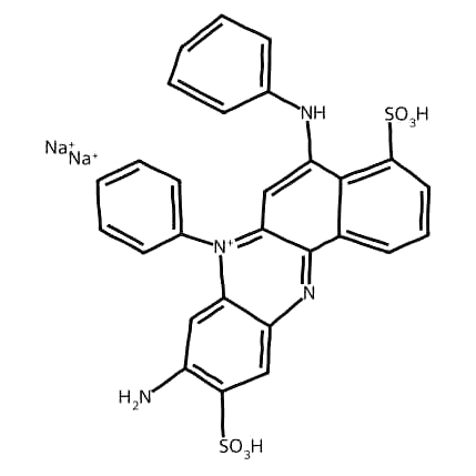 Nc1cc2c(cc1S(=O)(=O)O)nc1c3cccc(S(=O)(=O)O)c3c(Nc3ccccc3)cc1[n+]2-c1ccccc1.[Na+].[Na+]